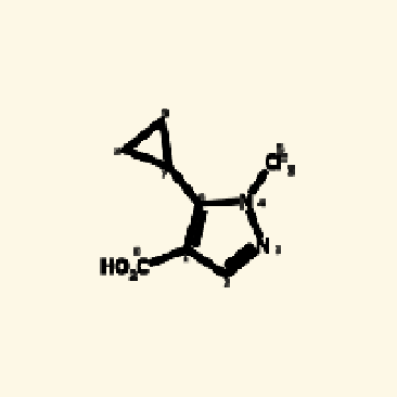 O=C(O)c1cnn(C(F)(F)F)c1C1CC1